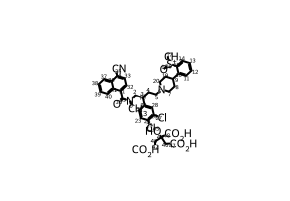 CN(C[C@@H](CCN1CCC(c2ccccc2[S+](C)[O-])CC1)c1ccc(Cl)c(Cl)c1)C(=O)c1ccc(C#N)c2ccccc12.O=C(O)CC(O)(CC(=O)O)C(=O)O